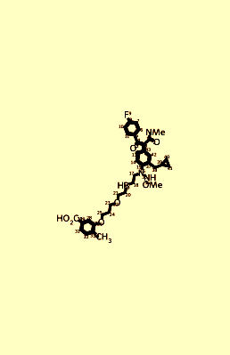 CNC(=O)c1c(-c2ccc(F)cc2)oc2cc(N(CCBCCOCCCOc3cc(C(=O)O)ccc3C)NOC)c(CC3CC3)cc12